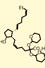 CC/C=C\CC/C=C/[C@H]1CC[C@H](O)[C@@H]1C/C=C\CCC(OC1CCCCO1)(OC1CCCCO1)C(=O)O